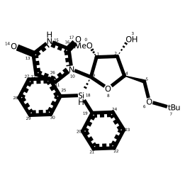 CO[C@@H]1[C@H](O)[C@@H](COC(C)(C)C)O[C@]1(n1ccc(=O)[nH]c1=O)[SiH](c1ccccc1)c1ccccc1